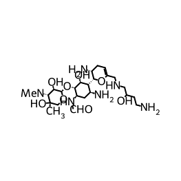 CN[C@@H]1[C@@H](O)[C@@H](O[C@H]2[C@H](NC=O)C[C@H](N)C([C@H]3OC(CNCC(O)CCN)=CC[C@H]3N)[C@@H]2O)OC[C@]1(C)O